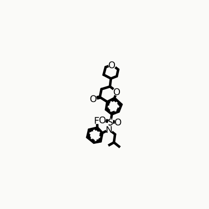 CC(C)CN(c1ccccc1F)S(=O)(=O)c1ccc2c(c1)C(=O)CC(C1CCOCC1)O2